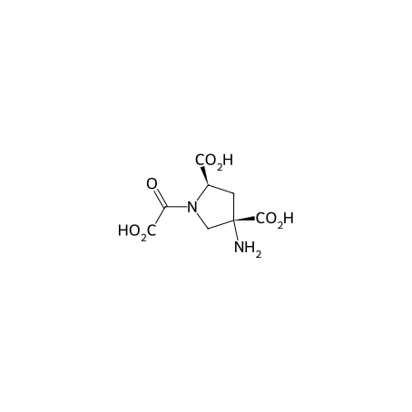 N[C@@]1(C(=O)O)C[C@H](C(=O)O)N(C(=O)C(=O)O)C1